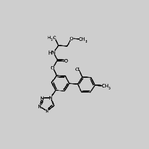 COCC(C)NC(=O)Oc1cc(-c2ccc(C)cc2Cl)cc(-n2cnnn2)c1